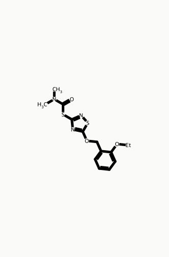 CCOc1ccccc1COc1nc(SC(=O)N(C)C)ns1